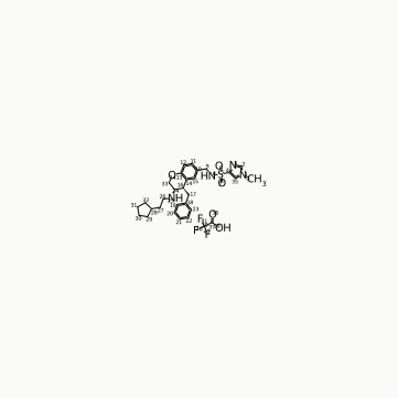 Cn1cnc(S(=O)(=O)NCc2ccc3c(c2)[C@@H](Cc2ccccc2)[C@@H](NCCC2CCCC2)CO3)c1.O=C(O)C(F)(F)F